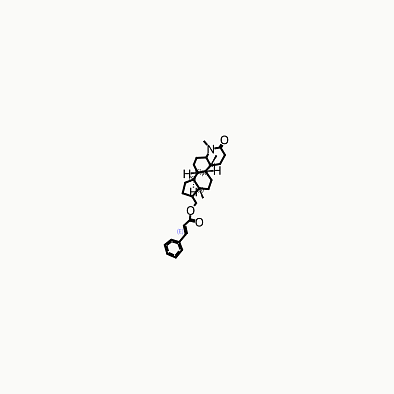 CN1C(=O)CC[C@@]2(C)C1CC[C@@H]1[C@H]2CC[C@]2(C)C(COC(=O)/C=C/c3ccccc3)CC[C@@H]12